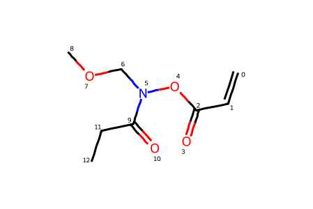 C=CC(=O)ON(COC)C(=O)CC